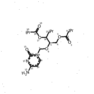 CC(C)C(=O)OC[C@@H](OCn1ccc(N)nc1=O)C(OC(=O)C(C)C)C(C)C